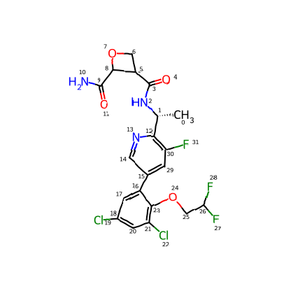 C[C@@H](NC(=O)[C]1COC1C(N)=O)c1ncc(-c2cc(Cl)cc(Cl)c2OCC(F)F)cc1F